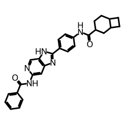 O=C(Nc1cc2nc(-c3ccc(NC(=O)C4CCC5CCC5C4)cc3)[nH]c2cn1)c1ccccc1